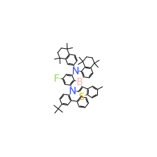 Cc1ccc2sc3c(c2c1)B1c2ccc4c(c2N(c2ccc5c(c2)C(C)(C)CCC5(C)C)c2cc(F)cc(c21)N3c1ccc(C(C)(C)C)cc1-c1ccccc1)C(C)(C)CCC4(C)C